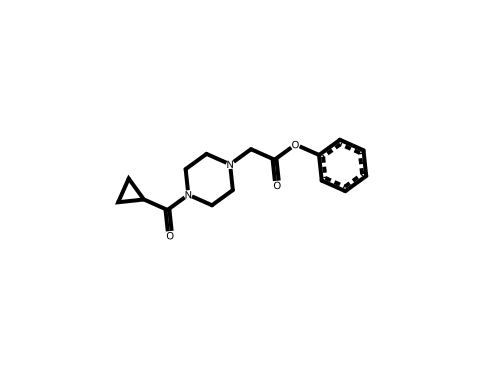 O=C(CN1CCN(C(=O)C2CC2)CC1)Oc1ccccc1